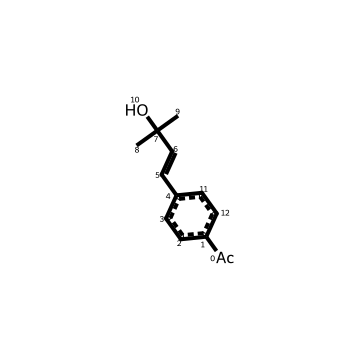 CC(=O)c1ccc(/C=C/C(C)(C)O)cc1